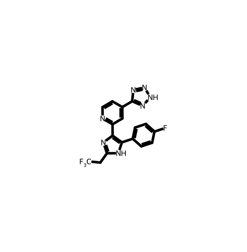 Fc1ccc(-c2[nH]c(CC(F)(F)F)nc2-c2cc(-c3nn[nH]n3)ccn2)cc1